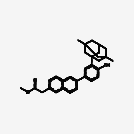 COC(=O)Cc1ccc2cc(-c3ccc(O)c(C45CC6CC(C)(CC(C)(C6)C4)C5)c3)ccc2c1